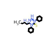 CCCCCN(C(=S)N(NN)c1ccccc1)c1ccccc1